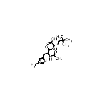 CC(=O)N[C@@H](Cc1cn(C)cn1)C(=O)N[C@@H](CCC(C)(C)C)C(=O)O